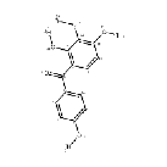 [2H]Oc1ccc(C(=O)c2ccc(O[2H])c(O[2H])c2O[2H])cc1